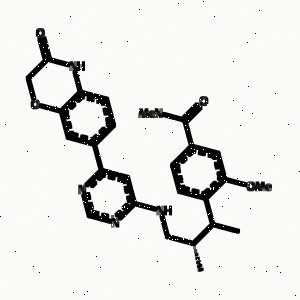 CNC(=O)c1ccc(C(C)[C@H](C)CNc2cc(-c3ccc4c(c3)OCC(=O)N4)ncn2)c(OC)c1